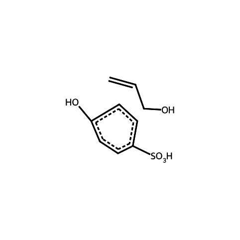 C=CCO.O=S(=O)(O)c1ccc(O)cc1